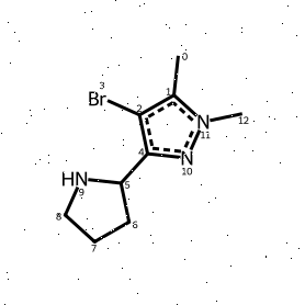 Cc1c(Br)c(C2CCCN2)nn1C